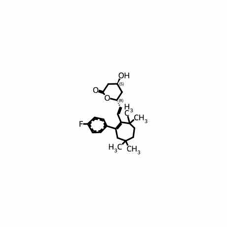 CC1(C)CCC(C)(C)C(C=C[C@H]2C[C@H](O)CC(=O)O2)=C(c2ccc(F)cc2)C1